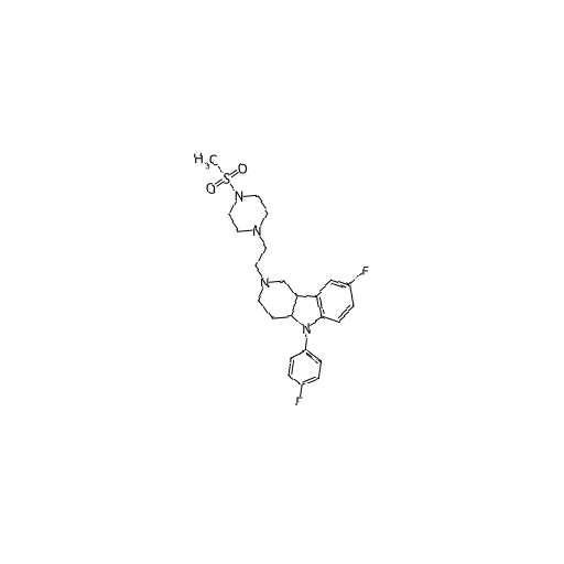 CS(=O)(=O)N1CCN(CCN2CCC3C(C2)c2cc(F)ccc2N3c2ccc(F)cc2)CC1